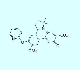 COc1cc2c(cc1Oc1ncccn1)C1CCC(C)(C)N1n1cc(C(=O)O)c(=O)cc1-2